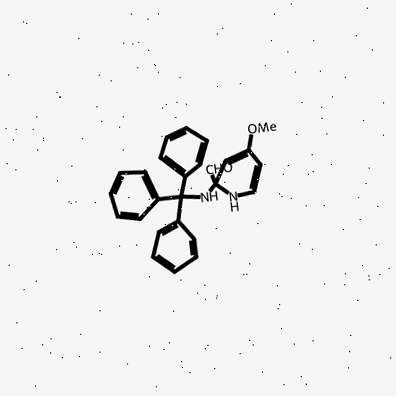 COC1=CC(C=O)(NC(c2ccccc2)(c2ccccc2)c2ccccc2)NC=C1